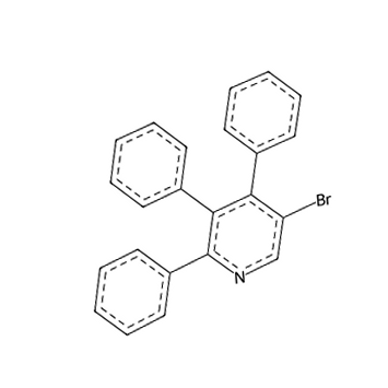 Brc1cnc(-c2ccccc2)c(-c2ccccc2)c1-c1ccccc1